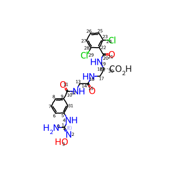 N/C(=N\O)Nc1cccc(C(=O)NCC(=O)NC[C@H](NC(=O)c2c(Cl)cccc2Cl)C(=O)O)c1